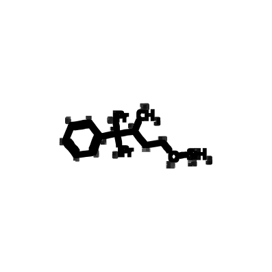 CC(C)C(c1ccccc1)(C(C)C)C(C)CCO[SiH3]